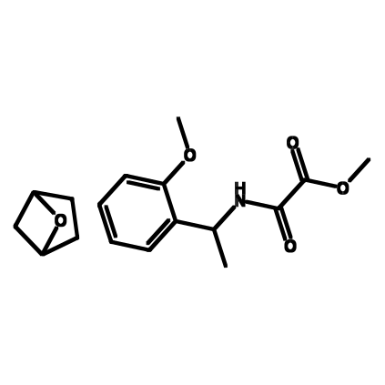 C1CC2CC1O2.COC(=O)C(=O)NC(C)c1ccccc1OC